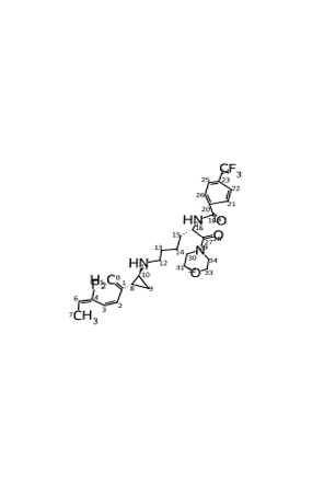 C=C(/C=C\C(F)=C/C)[C@H]1C[C@@H]1NCCCC[C@H](NC(=O)c1ccc(C(F)(F)F)cc1)C(=O)N1CCOCC1